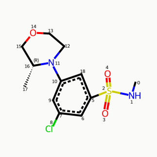 CNS(=O)(=O)c1cc(Cl)cc(N2CCOC[C@H]2C)c1